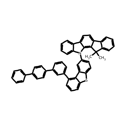 CC1(C)c2ccccc2-c2ccc3c4ccccc4n(-c4ccc5sc6cccc(-c7cccc(-c8ccc(-c9ccccc9)cc8)c7)c6c5c4)c3c21